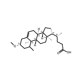 CO[C@@H]1CC2=CC[C@H]3[C@@H]4CC[C@H]([C@H](C)CCC(=O)O)[C@@]4(C)CC[C@@H]3[C@@]2(C)C(C)C1